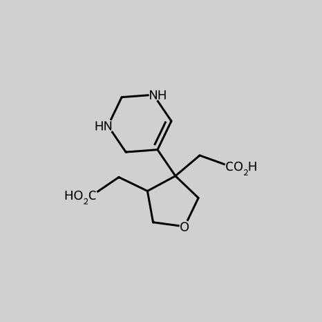 O=C(O)CC1COCC1(CC(=O)O)C1=CNCNC1